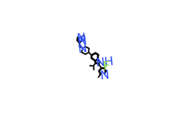 Cc1cc(-c2[nH]c3ccc(C4CCN(Cc5ccn(C)n5)CC4)cc3c2C(C)C)c(F)cn1